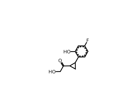 O=C(CO)C1CC1c1ccc(F)cc1O